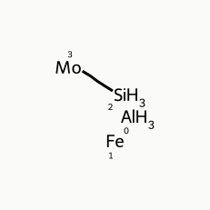 [AlH3].[Fe].[SiH3][Mo]